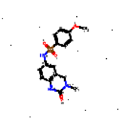 COc1ccc(S(=O)(=O)Nc2ccc3c(c2)CN(C)C(=O)N3)cc1